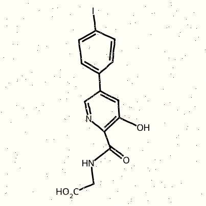 O=C(O)CNC(=O)c1ncc(-c2ccc(I)cc2)cc1O